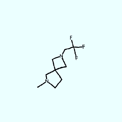 CN1CCC2(C1)CN(CC(F)(F)F)C2